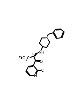 CCOC(=O)/C(=C/NC1CCN(Cc2ccccc2)CC1)C(=O)c1cccnc1Cl